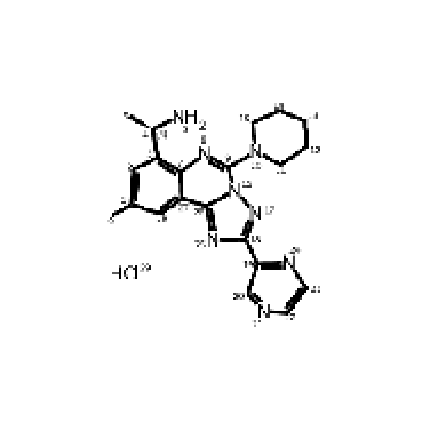 Cc1cc([C@@H](C)N)c2nc(N3CCCCC3)n3nc(-c4cnccn4)nc3c2c1.Cl